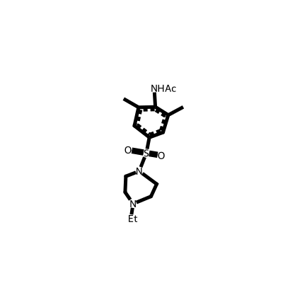 CCN1CCN(S(=O)(=O)c2cc(C)c(NC(C)=O)c(C)c2)CC1